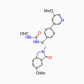 COc1cncc(-c2ccc([C@H](CN3Cc4ccc(OC)cc4C3=O)NC(=O)NC=O)cc2)c1